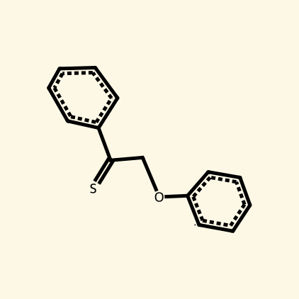 S=C(COc1[c]cccc1)c1ccccc1